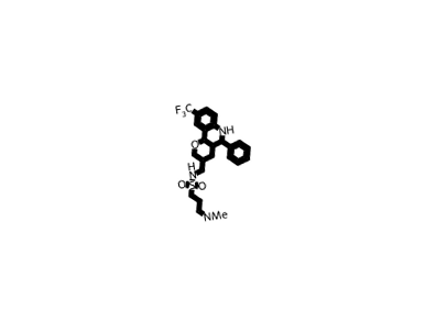 CNCCCS(=O)(=O)NCC1COC2c3cc(C(F)(F)F)ccc3NC(c3ccccc3)C2C1